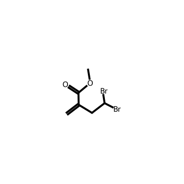 C=C(CC(Br)Br)C(=O)OC